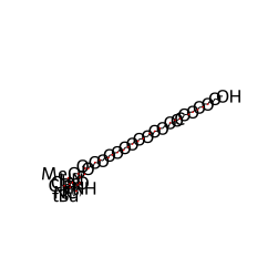 COc1cc(C(=O)OCCOCCOCCOCCOCCOCCOCCOCCOCCOCCOCCOCCOCCOCCOCCOCCOCCOCCO)ccc1NC(=O)[C@@H]1N[C@@H](CC(C)(C)C)[C@](C#N)(c2ccc(Cl)cc2F)[C@H]1c1cccc(Cl)c1F